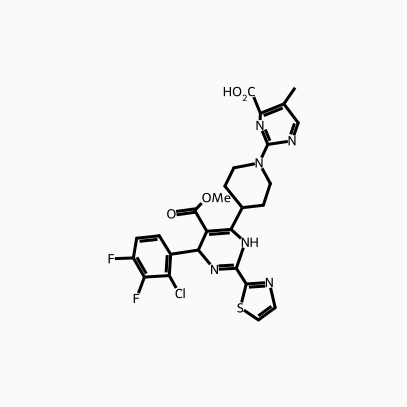 COC(=O)C1=C(C2CCN(c3ncc(C)c(C(=O)O)n3)CC2)NC(c2nccs2)=NC1c1ccc(F)c(F)c1Cl